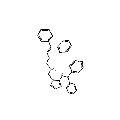 B(c1nccn1C[SiH2]CCC=C(c1ccccc1)c1ccccc1)C(c1ccccc1)c1ccccc1